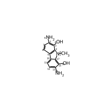 Cn1c2c(O)c(N)ccc2c2ccc(N)c(O)c21